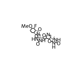 COc1ccc2c(c1F)C(=O)N(C[C@@]1(c3cc4cc(C5(C)NC(=O)NC5=O)cnc4o3)NC(=O)NC1=O)C2